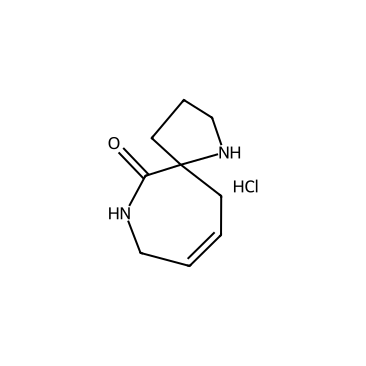 Cl.O=C1NCC=CCC12CCCN2